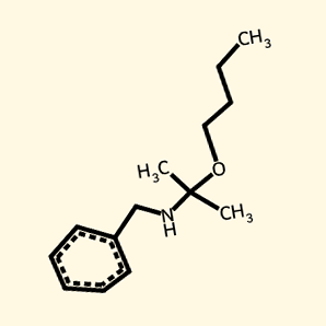 CCCCOC(C)(C)NCc1ccccc1